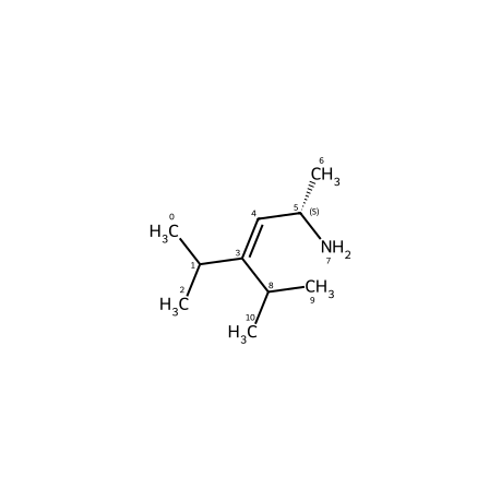 CC(C)C(=C[C@H](C)N)C(C)C